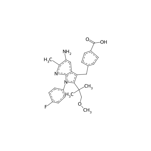 COCC(C)(C)c1c(Cc2ccc(C(=O)O)cc2)c2cc(N)c(C)nc2n1-c1ccc(F)cc1